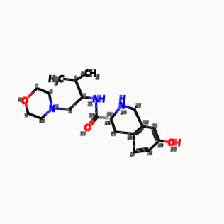 CC(C)C(CN1CCOCC1)NC(=O)[C@H]1Cc2ccc(O)cc2CN1